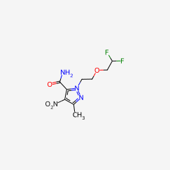 Cc1nn(CCOCC(F)F)c(C(N)=O)c1[N+](=O)[O-]